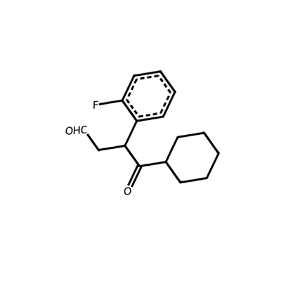 O=CCC(C(=O)C1CCCCC1)c1ccccc1F